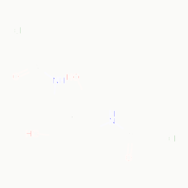 O=C(CCl)NCC(CO)(CO)CNC(=O)CCl